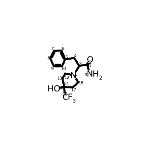 NC(=O)C(Cc1ccccc1)N1CCC(O)(C(F)(F)F)CC1